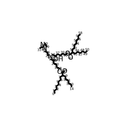 CCCCCCCCC(CCCCCC)C(=O)OCCCCCCN(CCCn1ccnc1C)C[C@@H](O)CCCCOC(=O)C(CCCCCC)CCCCCCCC